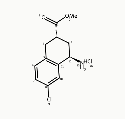 COC(=O)[C@H]1Cc2ccc(Cl)cc2[C@H](N)C1.Cl